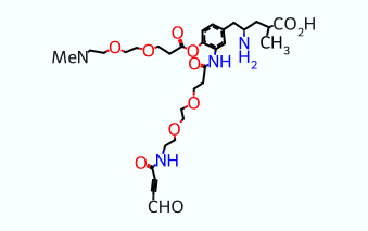 CNCCOCCOCCC(=O)Oc1ccc(C[C@H](N)CC(C)C(=O)O)cc1NC(=O)CCOCCOCCNC(=O)C#CC=O